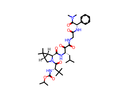 CC(C)C[C@H](NC(=O)[C@@H]1[C@@H]2[C@H](CN1C(=O)[C@@H](NC(=O)OC(C)C)C(C)(C)C)C2(C)C)C(=O)C(=O)NCC(=O)N[C@H](C(=O)N(C)C)c1ccccc1